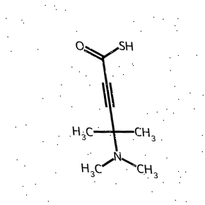 CN(C)C(C)(C)C#CC(=O)S